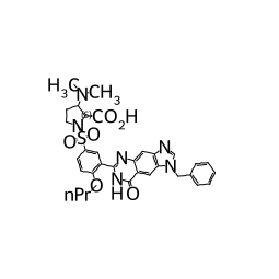 CCCOc1ccc(S(=O)(=O)N2CCC(N(C)C)[C@H]2C(=O)O)cc1-c1nc2cc3ncn(Cc4ccccc4)c3cc2c(=O)[nH]1